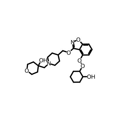 OC1CCCCC1OOc1cccc2onc(OCC3CCN(CC4(O)CCOCC4)CC3)c12